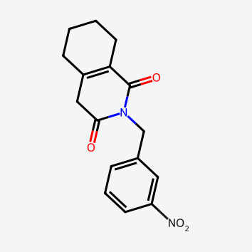 O=C1CC2=C(CCCC2)C(=O)N1Cc1cccc([N+](=O)[O-])c1